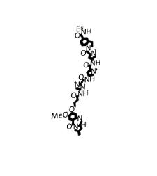 C=C1C[C@H]2C=Nc3cc(OCCCC(=O)Nc4cn(C)c(C(=O)Nc5cc(C(=O)Nc6cc(C(=O)N7CCc8cc(C(=O)NCC)ccc87)n(C)c6)n(C)c5)n4)c(OC)cc3C(=O)N2C1